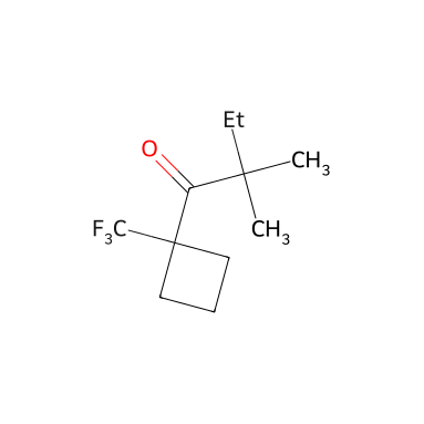 CCC(C)(C)C(=O)C1(C(F)(F)F)CCC1